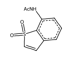 CC(=O)Nc1cccc2c1S(=O)(=O)C=C2